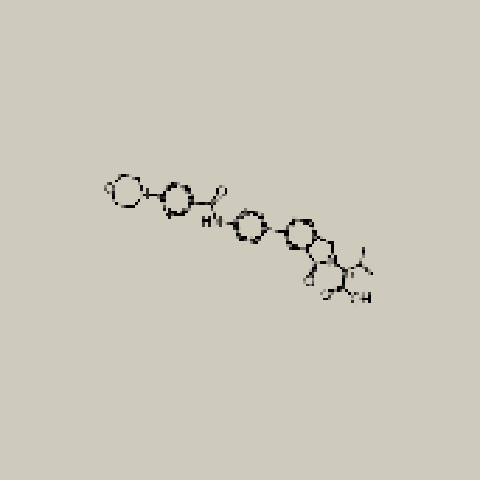 CC(C)[C@@H](C(=O)O)N1Cc2ccc(-c3ccc(NC(=O)c4ccc(N5CCOCC5)nc4)cc3)cc2C1=O